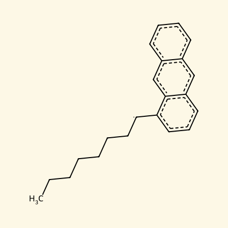 CCCCCCC[CH]c1cccc2cc3ccccc3cc12